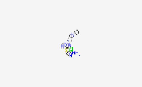 Nc1nccc(SC2=CN=C(N3CCC4(CC3)CCN(c3ccccc3)C4)N3CCN=C23)c1Cl